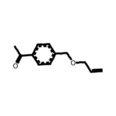 C=CCOCc1ccc(C(C)=O)cc1